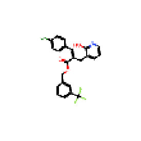 O=C(OCc1cccc(C(F)(F)F)c1)/C(=C\c1ccc(Cl)cc1)Cc1cccnc1O